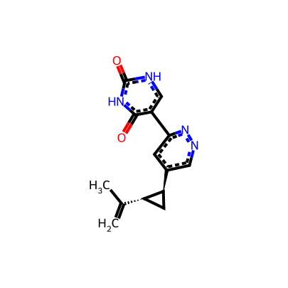 C=C(C)[C@H]1C[C@@H]1c1cnnc(-c2c[nH]c(=O)[nH]c2=O)c1